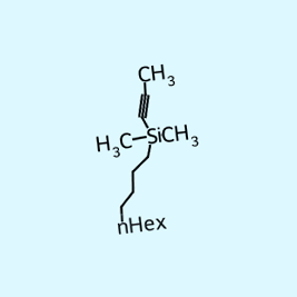 CC#C[Si](C)(C)CCCCCCCCCC